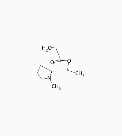 C=CC(=O)OCC.CN1CCCC1